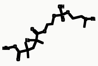 CCCCOC(=O)C(C)(C)CC(C)(CC)C(=O)OCCOP(=O)(O)OCCN(C)CC